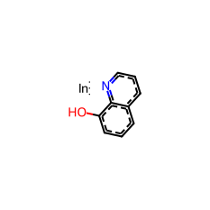 Oc1cccc2cccnc12.[In]